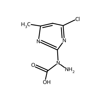 Cc1cc(Cl)nc(N(N)C(=O)O)n1